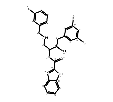 CCc1cccc(CNCC(OC(=O)c2nc3ccccc3[nH]2)C(N)Cc2cc(F)cc(F)c2)c1